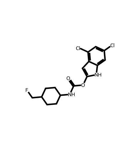 O=C(NC1CCC(CF)CC1)Oc1cc2c(Cl)cc(Cl)cc2[nH]1